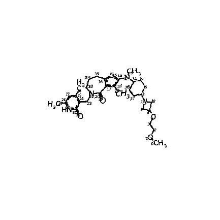 COCCOC1CN(C2CCC(N(C)c3sc4c(c3C)C(=O)N(Cc3c(C)cc(C)[nH]c3=O)CCC4)CC2)C1